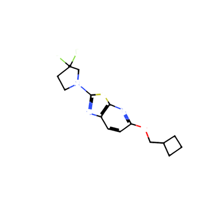 FC1(F)CCN(c2nc3ccc(OCC4CCC4)nc3s2)C1